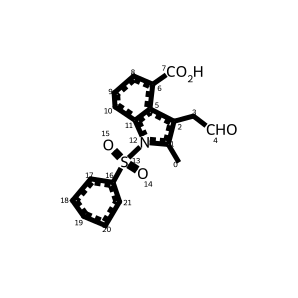 Cc1c(CC=O)c2c(C(=O)O)cccc2n1S(=O)(=O)c1ccccc1